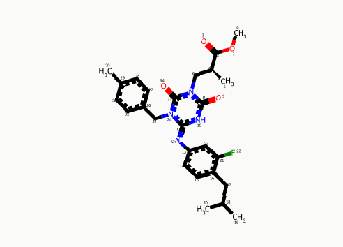 COC(=O)[C@@H](C)Cn1c(=O)[nH]/c(=N\c2ccc(CC(C)C)c(F)c2)n(Cc2ccc(C)cc2)c1=O